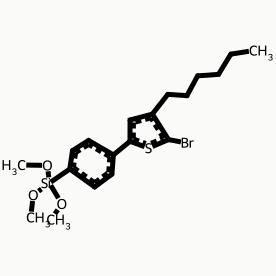 CCCCCCc1cc(-c2ccc([Si](OC)(OC)OC)cc2)sc1Br